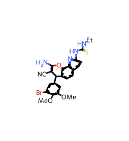 CCNC(=S)Nc1ccc2ccc3c(c2n1)OC(N)=C(C#N)C3c1cc(Br)c(OC)c(OC)c1